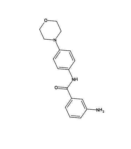 Nc1cccc(C(=O)Nc2ccc(N3CCOCC3)cc2)c1